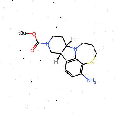 CC(C)(C)OC(=O)N1CC[C@H]2[C@@H](C1)c1ccc(N)c3c1N2CCCS3